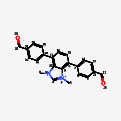 Cn1c[n+](C)c2c(-c3ccc(C=O)cc3)ccc(-c3ccc(C=O)cc3)c21